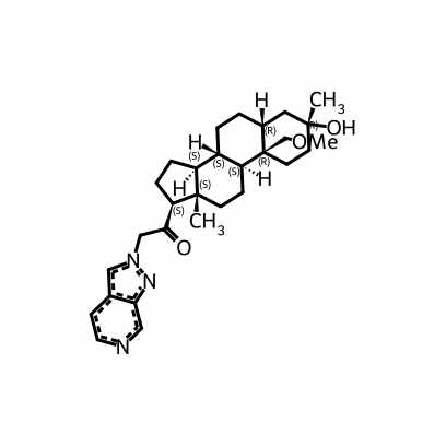 COC[C@]12CC[C@@](C)(O)C[C@H]1CC[C@H]1[C@@H]3CC[C@H](C(=O)Cn4cc5ccncc5n4)[C@@]3(C)CC[C@@H]12